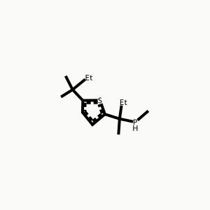 CCC(C)(C)c1ccc(C(C)(CC)PC)s1